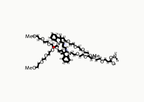 COCCOCCOCCOCC[N+]1=C(/C=C/C=C2/N(CCOCCOCCOCCOCCC(=O)ON(C)C)c3ccccc3C2(C)CCOCCOCCOCCOC)C(C)(CCOCCOCCOCCOC)c2ccccc21